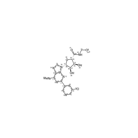 CNc1nc(-c2cncc(Cl)c2)nc2c1ncn2[C@@H]1O[C@H](C(=O)NCC(F)(F)F)[C@@H](O)[C@H]1O